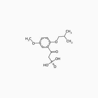 COc1ccc(OCC(C)C)c(C(=O)CP(=O)(O)O)c1